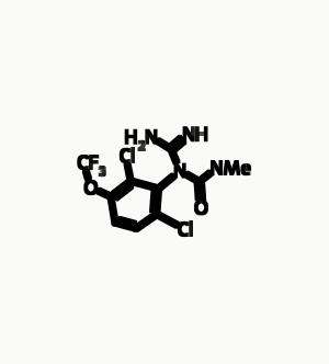 CNC(=O)N(C(=N)N)c1c(Cl)ccc(OC(F)(F)F)c1Cl